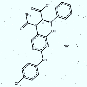 NC(=O)N(c1cnc(Nc2ccc(Cl)cc2)nc1O)[C@H](Nc1ccccc1)C(=O)[O-].[Na+]